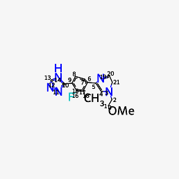 COCCN1C=C(c2ccc(-c3nnc[nH]3)c(F)c2C)N=CC1